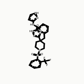 O=c1[nH]nc(C2(Cc3cccc(Nc4cc[nH]n4)n3)CCN(S(=O)(=O)c3ccccc3C(F)(F)F)CC2)o1